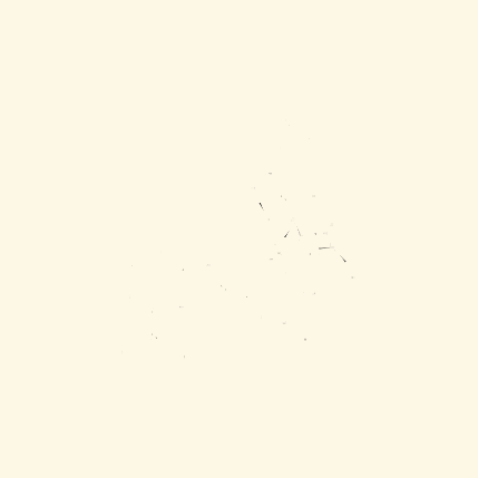 O=C1c2cccc([N+](=O)[O-])c2C(=O)N1c1cc(O)c2c3c1C[C@@H]1N(CC4CC4)CC[C@]34[C@@H](CCC[C@]14O)O2